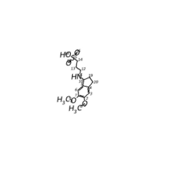 COc1cc2c(cc1OC)C(NCCCS(=O)(=O)O)CC2